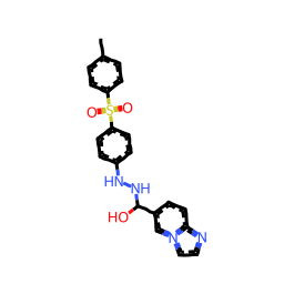 Cc1ccc(S(=O)(=O)c2ccc(NNC(O)c3ccc4nccn4c3)cc2)cc1